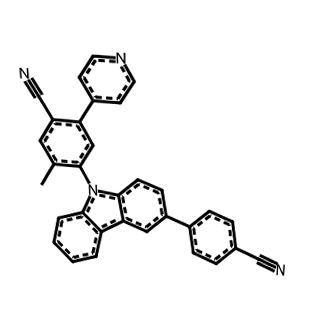 Cc1cc(C#N)c(-c2ccncc2)cc1-n1c2ccccc2c2cc(-c3ccc(C#N)cc3)ccc21